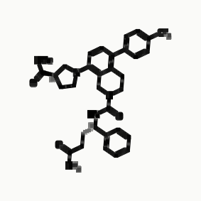 CNC(=O)[C@@H]1CCN(c2ccc(-c3ccc(C(F)(F)F)cc3)c3c2CN(C(=O)N[C@@H](CCC(N)=O)c2ccccc2)CC3)C1